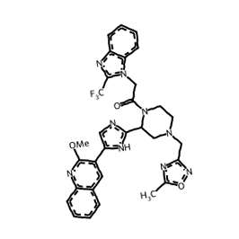 COc1nc2ccccc2cc1-c1cnc(C2CN(Cc3noc(C)n3)CCN2C(=O)Cn2c(C(F)(F)F)nc3ccccc32)[nH]1